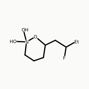 CCC(F)CC1CCC[Si](O)(O)O1